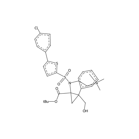 CC(C)(C)OC(=O)C1(N(CC[Si](C)(C)C)S(=O)(=O)c2ccc(-c3ccc(Cl)cc3)s2)CC1(CO)c1ccccc1